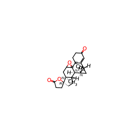 C[C@]12CCC(=O)C=C1[C@@H]1C[C@@H]1[C@H]1[C@@H]3CC[C@@]4(CCC(=O)O4)[C@@]3(C)CC3O[C@]312